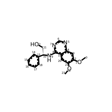 COc1cc2ncnc(N[C@@H](CO)c3ccccc3)c2cc1OC